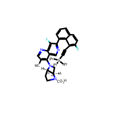 CC(C)[Si](C#Cc1c(F)ccc2cccc(-c3ncc4c(N5C[C@@H]6[C@H]5CCN6C(=O)O)c(C#N)cnc4c3F)c12)(C(C)C)C(C)C